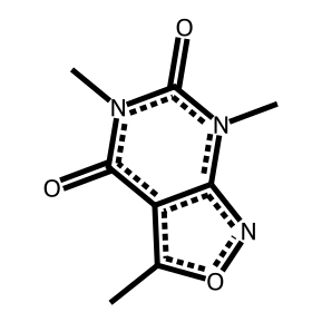 Cc1onc2c1c(=O)n(C)c(=O)n2C